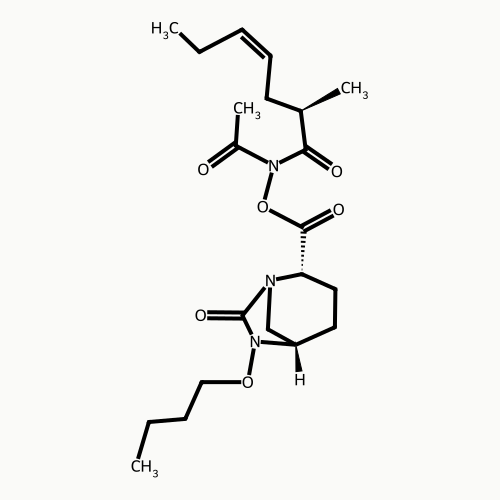 CC/C=C\C[C@@H](C)C(=O)N(OC(=O)[C@@H]1CC[C@H]2CN1C(=O)N2OCCCC)C(C)=O